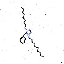 CCCCCCCCCCN1C=CN(CCCCCCCCC)C1Cc1ccccc1